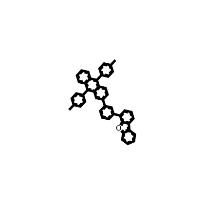 Cc1ccc(-c2c3ccccc3c(-c3ccc(C)cc3)c3cc(-c4cccc(-c5cccc6c5oc5ccccc56)c4)ccc23)cc1